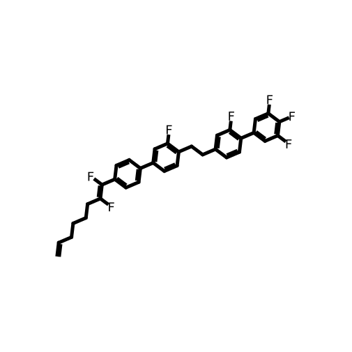 C=CCCCC/C(F)=C(\F)c1ccc(-c2ccc(CCc3ccc(-c4cc(F)c(F)c(F)c4)c(F)c3)c(F)c2)cc1